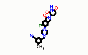 Cc1cc(C#N)cc(CN2CCN(c3cc4c(cc3F)C(=O)N(C3CCC(=O)NC3=O)C4)CC2)c1